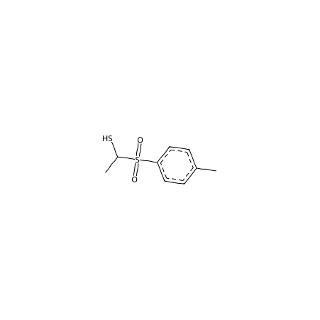 Cc1ccc(S(=O)(=O)C(C)S)cc1